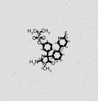 CN1C(=O)C(c2cccc(OS(=O)(=O)N(C)C)c2)(c2cccc(-c3ccc(F)nc3)c2)N=C1N